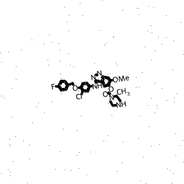 COc1cc2ncnc(Nc3ccc(OCc4ccc(F)cc4)c(Cl)c3)c2cc1OC(=O)N1CCNC[C@H]1C